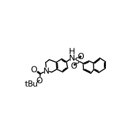 CC(C)(C)OC(=O)N1CCc2cc(NS(=O)(=O)c3ccc4ccccc4c3)ccc2C1